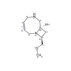 COC[C@@H]1C[C@@H]2CNC/C=C\CN12